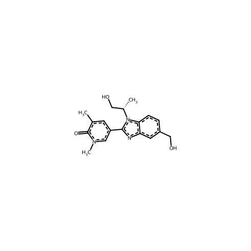 Cc1cc(-c2nc3cc(CO)ccc3n2[C@@H](C)CO)cn(C)c1=O